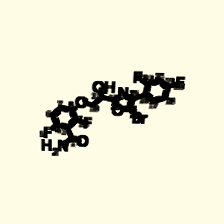 NC(=O)c1c(F)ccc(OCC(O)c2nc(-c3ccc(F)cc3F)c(Br)o2)c1F